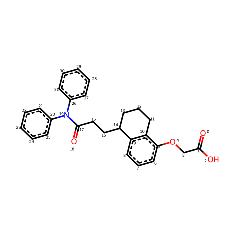 O=C(O)COc1cccc2c1CCCC2CCC(=O)N(c1ccccc1)c1ccccc1